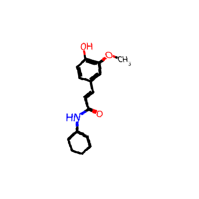 COc1cc(C=CC(=O)NC2CCCCC2)ccc1O